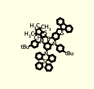 CC(C)(C)c1ccc(N2c3cc4c(cc3B3c5sc6c(c5N(c5ccc(C(C)(C)C)cc5)c5cc(N7c8ccccc8[Si](c8ccccc8)(c8ccccc8)c8ccccc87)cc2c53)C(C)(C)CC6(C)C)CC2(S4)c3ccccc3-c3ccccc32)cc1